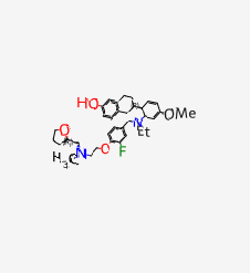 CCN(Cc1ccc(OCCN(C)C[C@H]2CCCO2)c(F)c1)C1C=C(OC)C=CC1[C@@H]1CCc2cc(O)ccc2C1